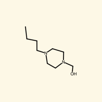 CCCCN1CCN(CO)CC1